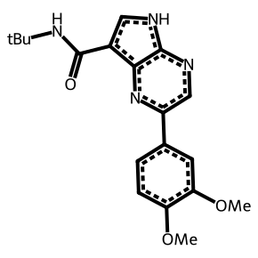 COc1ccc(-c2cnc3[nH]cc(C(=O)NC(C)(C)C)c3n2)cc1OC